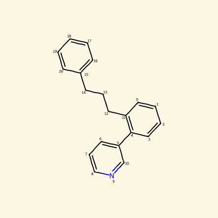 [c]1cccc(-c2cccnc2)c1CCCc1ccccc1